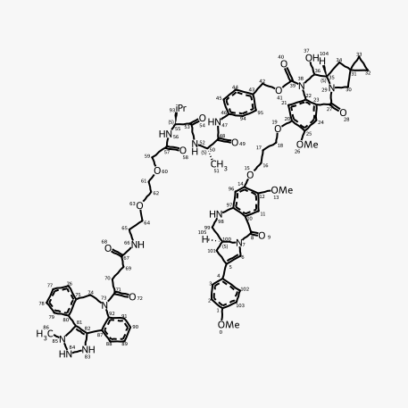 COc1ccc(C2=CN3C(=O)c4cc(OC)c(OCCCOc5cc6c(cc5OC)C(=O)N5CC7(CC7)C[C@H]5C(O)N6C(=O)OCc5ccc(NC(=O)[C@H](C)NC(=O)[C@@H](NC(=O)COCCOCCNC(=O)CCC(=O)N6Cc7ccccc7C7=C(NNN7C)c7ccccc76)C(C)C)cc5)cc4NC[C@@H]3C2)cc1